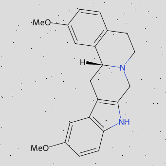 COc1ccc2c(c1)[C@H]1Cc3c([nH]c4ccc(OC)cc34)CN1CC2